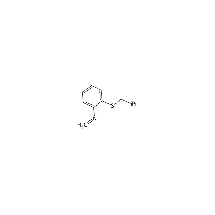 C=Nc1ccccc1SCC(C)C